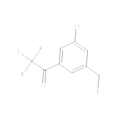 O=C(c1cc(Cl)cc(CI)c1)C(F)(F)F